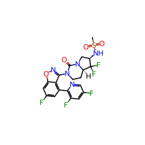 CS(=O)(=O)N[C@@H]1CN2C(=O)N(c3noc4cc(F)cc(-c5ncc(F)cc5F)c34)CC[C@@H]2C1(F)F